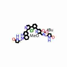 COc1nc(-c2cccc(-c3ccnc(-c4ccc5c(c4)CCCC5NC[C@@H]4CCC(=O)N4)c3Cl)c2Cl)ccc1CN(C[C@@H]1CCC(=O)N1)C(=O)OC(C)(C)C